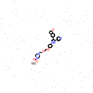 CC(C)(C)OC(=O)N1CCN(CCOCCOc2ccc(-n3cc(-c4ccc5c(c4)CCC5=O)c(-c4ccncc4)n3)cc2)CC1